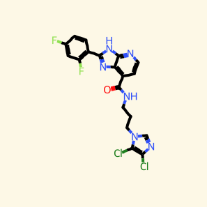 O=C(NCCCn1cnc(Cl)c1Cl)c1ccnc2[nH]c(-c3ccc(F)cc3F)nc12